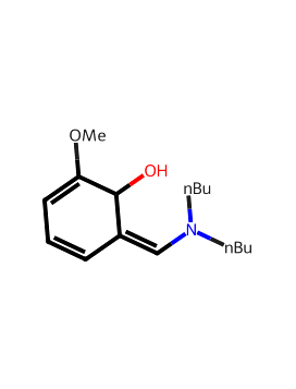 CCCCN(/C=C1/C=CC=C(OC)C1O)CCCC